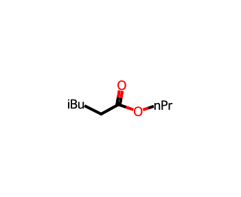 C[CH]COC(=O)CC(C)CC